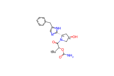 CC(C)(C)C(OC(N)=O)C(=O)N1C[C@H](O)C[C@H]1c1ncc(Cc2ccccc2)[nH]1